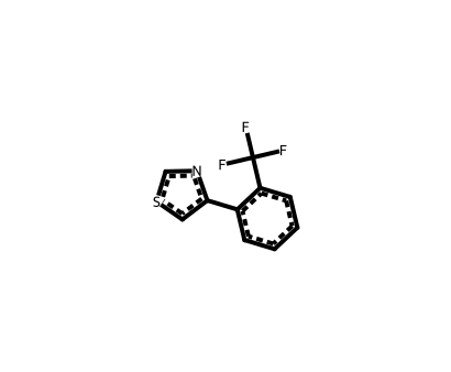 FC(F)(F)c1ccccc1-c1cscn1